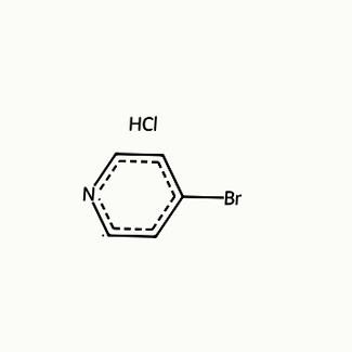 Brc1c[c]ncc1.Cl